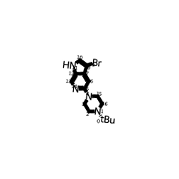 CC(C)(C)N1CCN(c2cc3c(Br)c[nH]c3cn2)CC1